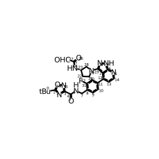 CC(C)(C)c1nc(C(=O)NCc2ccc(-c3ccnc4[nH]nc(N5CC[C@@H](NC(=O)C=O)C5)c34)cc2F)no1